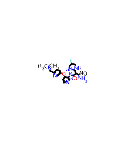 CN(C)Cc1ccc(Oc2ccncc2NC(=O)C(C(N)N=O)C2NCC(F)CN2)cn1